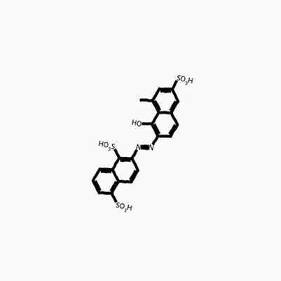 Cc1cc(S(=O)(=O)O)cc2ccc(N=Nc3ccc4c(S(=O)(=O)O)cccc4c3S(=O)(=O)O)c(O)c12